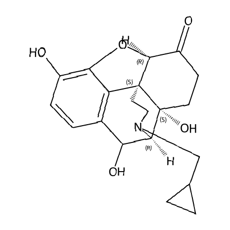 O=C1CC[C@@]2(O)[C@H]3C(O)c4ccc(O)c5c4[C@@]2(CCN3CC2CC2)[C@H]1O5